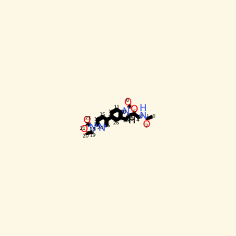 CC(=O)NCC1OC(=O)N2c3ccc(-c4ccc(N5CCOC5=O)nc4)cc3C[C@@H]12